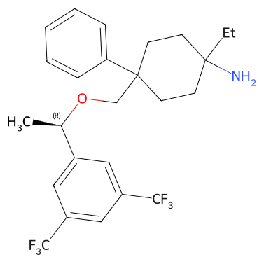 CCC1(N)CCC(CO[C@H](C)c2cc(C(F)(F)F)cc(C(F)(F)F)c2)(c2ccccc2)CC1